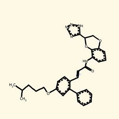 CC(C)CCCOc1ccc(/C=C/C(=O)Nc2cccc3c2OC(c2nnn[nH]2)CO3)c(-c2ccccc2)c1